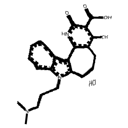 CN(C)CCCn1c2c(c3ccccc31)-c1[nH]c(=O)c(C(=O)O)c(O)c1CCC2.Cl